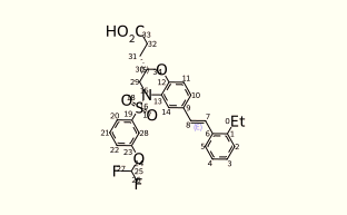 CCc1ccccc1/C=C/c1ccc2c(c1)N(S(=O)(=O)c1cccc(OC(F)F)c1)C[C@H](CCC(=O)O)O2